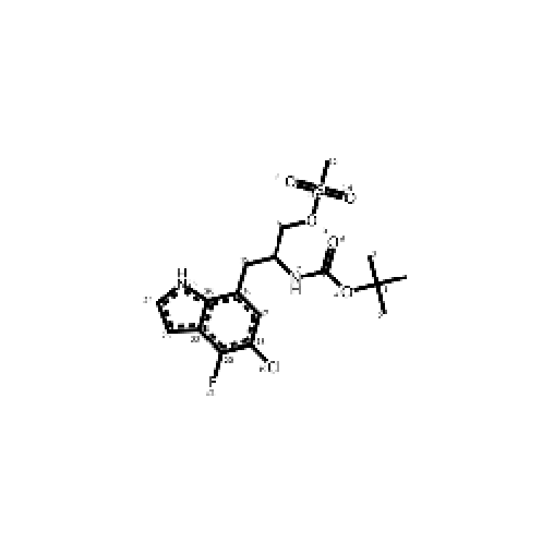 CC(C)(C)OC(=O)NC(COS(C)(=O)=O)Cc1cc(Cl)c(F)c2cc[nH]c12